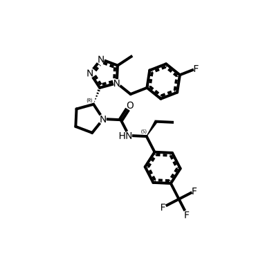 CC[C@H](NC(=O)N1CCC[C@@H]1c1nnc(C)n1Cc1ccc(F)cc1)c1ccc(C(F)(F)F)cc1